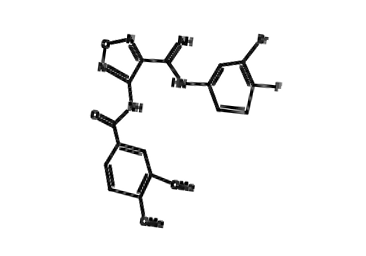 COc1ccc(C(=O)Nc2nonc2C(=N)Nc2ccc(F)c(Br)c2)cc1OC